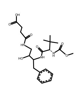 COC(=O)N[C@H](C(=O)NC(Cc1ccccc1)C(O)CNC(=O)CCC(=O)O)C(C)(C)C